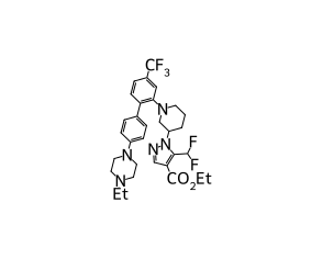 CCOC(=O)c1cnn(C2CCCN(c3cc(C(F)(F)F)ccc3-c3ccc(N4CCN(CC)CC4)cc3)C2)c1C(F)F